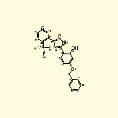 Oc1cc(OCc2ccccc2)ccc1-c1nc(-c2cnccc2C(F)(F)F)n[nH]1